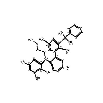 COCCCN(c1ccccc1-c1cc(C)cc(C(C)(C)c2ccccc2)c1O)c1cc(C)cc(C(C)(C)C)c1O.[Zr]